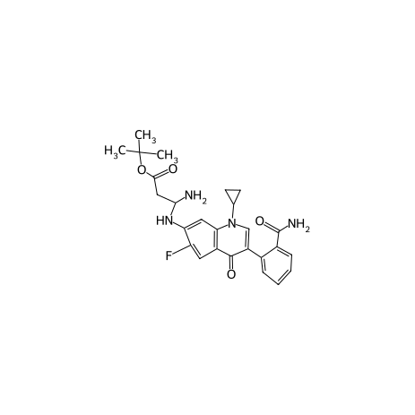 CC(C)(C)OC(=O)CC(N)Nc1cc2c(cc1F)c(=O)c(-c1ccccc1C(N)=O)cn2C1CC1